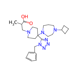 CC(CN1CCC(c2nnnn2Cc2ccccc2)(N2CCCN(C3CCC3)CC2)CC1)C(=O)O